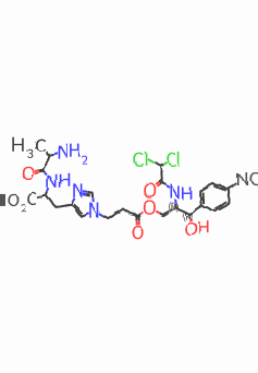 CC(N)C(=O)NC(Cc1cn(CCC(=O)OC[C@@H](NC(=O)C(Cl)Cl)[C@H](O)c2ccc([N+](=O)[O-])cc2)cn1)C(=O)O